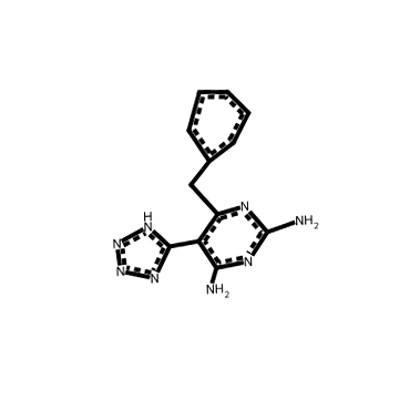 Nc1nc(N)c(-c2nnn[nH]2)c(Cc2ccccc2)n1